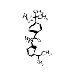 CC(C)c1cccc(NC(=O)c2ccc(C(C)(C)C)cc2)c1